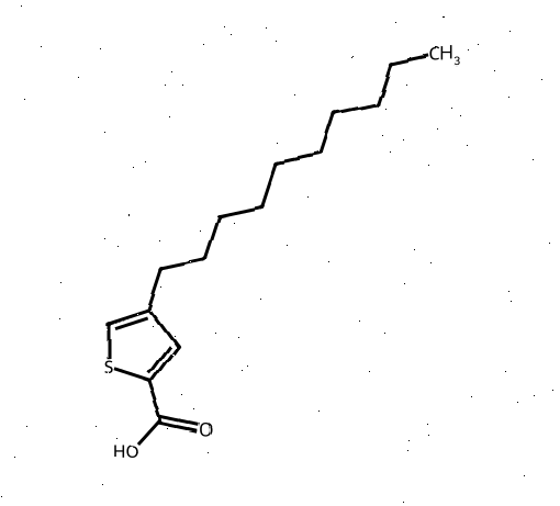 CCCCCCCCCCc1csc(C(=O)O)c1